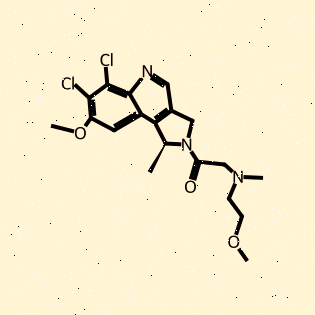 COCCN(C)CC(=O)N1Cc2cnc3c(Cl)c(Cl)c(OC)cc3c2[C@@H]1C